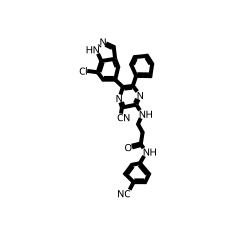 N#Cc1ccc(NC(=O)CCNc2nc(-c3ccccc3)c(-c3cc(Cl)c4[nH]ncc4c3)nc2C#N)cc1